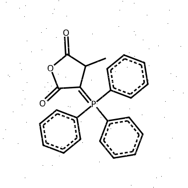 CC1C(=O)OC(=O)C1=P(c1ccccc1)(c1ccccc1)c1ccccc1